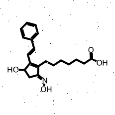 O=C(O)CCCCCCC1=C(C=Cc2ccccc2)C(O)CC1=NO